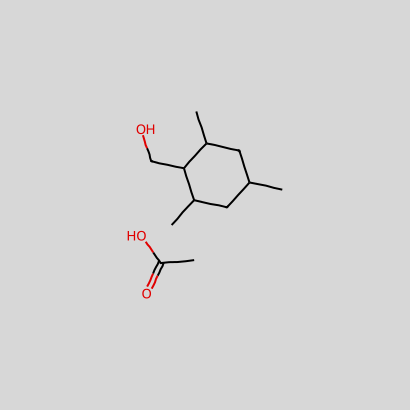 CC(=O)O.CC1CC(C)C(CO)C(C)C1